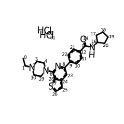 CCN1CCN(c2nc(-c3ccc(C(=O)NC4CCCC4)cc3)cc3ccsc23)CC1.Cl.Cl